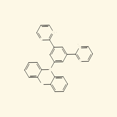 c1cnc(-c2cc(-c3ncccn3)cc(N3c4ccccc4Oc4ccccc43)c2)nc1